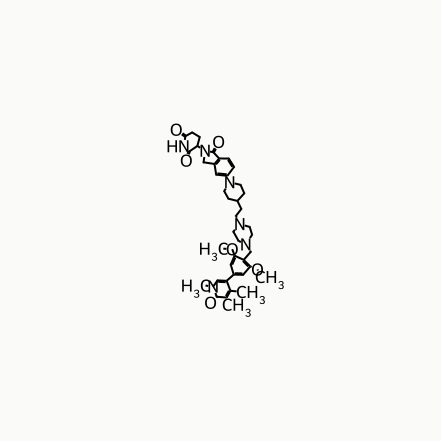 COc1cc(-c2cn(C)c(=O)c(C)c2C)cc(OC)c1CN1CCN(CCC2CCN(c3ccc4c(c3)CN(C3CCC(=O)NC3=O)C4=O)CC2)CC1